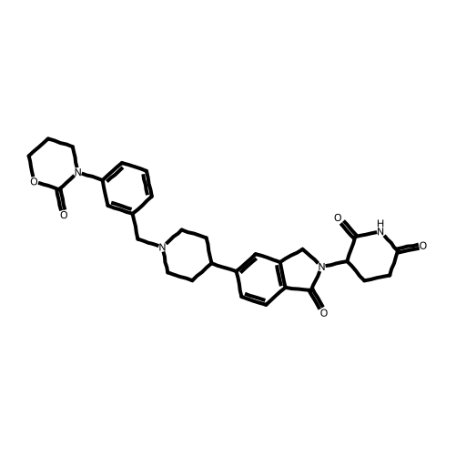 O=C1CCC(N2Cc3cc(C4CCN(Cc5cccc(N6CCCOC6=O)c5)CC4)ccc3C2=O)C(=O)N1